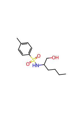 CCCCC(CO)NS(=O)(=O)c1ccc(C)cc1